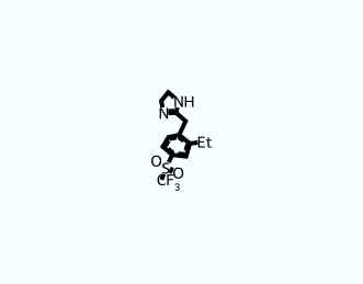 CCc1cc(S(=O)(=O)C(F)(F)F)ccc1CC1=NCCN1